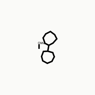 C1CCCC(C2CCCCCCC2)CCC1.COC